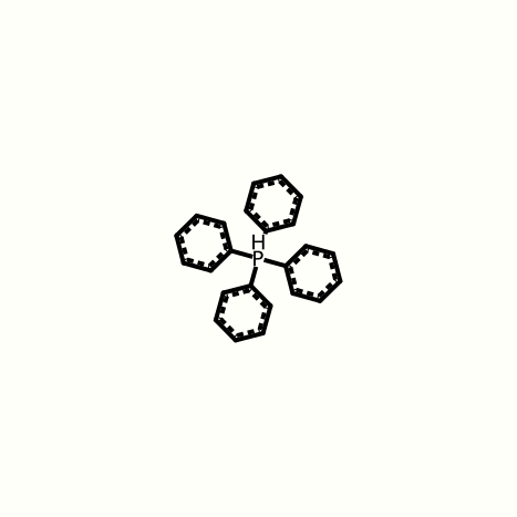 c1ccc([PH](c2ccccc2)(c2ccccc2)c2ccccc2)cc1